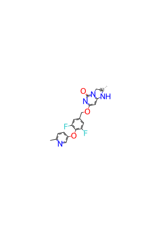 Cc1ccc(Oc2c(F)cc(COc3cc4n(c(=O)n3)C[C@H](C)N4)cc2F)cn1